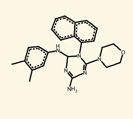 Cc1ccc(NC2N=C(N)N=C(N3CCOCC3)N2c2cccc3ccccc23)cc1C